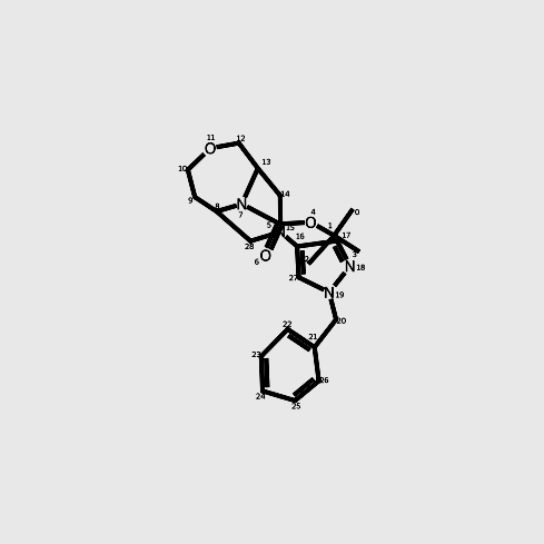 CC(C)(C)OC(=O)N1C2CCOCC1CN(c1cnn(Cc3ccccc3)c1)C2